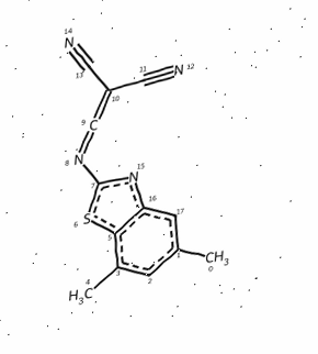 Cc1cc(C)c2sc(N=C=C(C#N)C#N)nc2c1